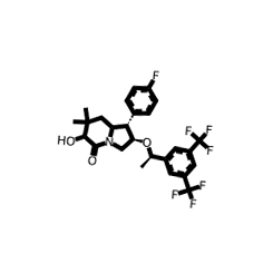 C[C@@H](O[C@H]1CN2C(=O)C(O)C(C)(C)CC2[C@@H]1c1ccc(F)cc1)c1cc(C(F)(F)F)cc(C(F)(F)F)c1